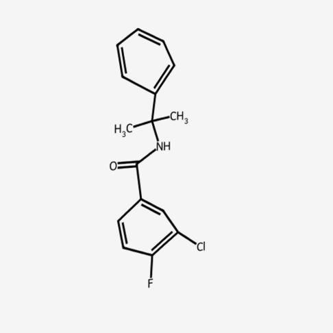 CC(C)(NC(=O)c1ccc(F)c(Cl)c1)c1ccccc1